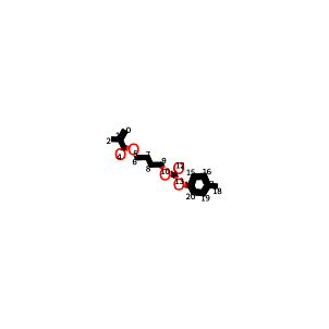 C=C(C)C(=O)OCCCCOC(=O)Oc1ccc(C)cc1